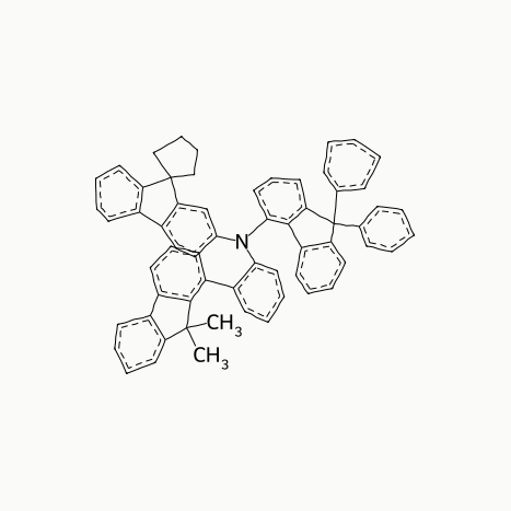 CC1(C)c2ccccc2-c2cccc(-c3ccccc3N(c3ccc4c(c3)C3(CCCC3)c3ccccc3-4)c3cccc4c3-c3ccccc3C4(c3ccccc3)c3ccccc3)c21